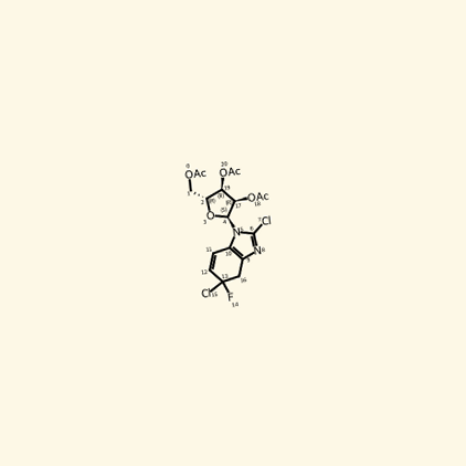 CC(=O)OC[C@H]1O[C@H](n2c(Cl)nc3c2C=CC(F)(Cl)C3)[C@H](OC(C)=O)[C@@H]1OC(C)=O